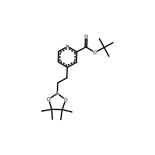 CC(C)(C)OC(=O)c1cc(CCB2OC(C)(C)C(C)(C)O2)ccn1